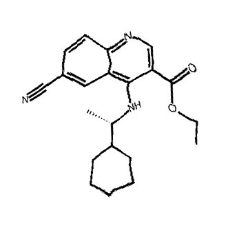 CCOC(=O)c1cnc2ccc(C#N)cc2c1N[C@@H](C)C1CCCCC1